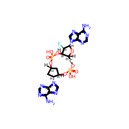 Nc1ncnc2c1ncn2[C@@H]1C[C@H]2C[C@H]1OP(=O)(O)OC[C@H]1O[C@@H](n3cnc4c(N)ncnc43)[C@H](F)[C@@H]1OP(=O)(O)O2